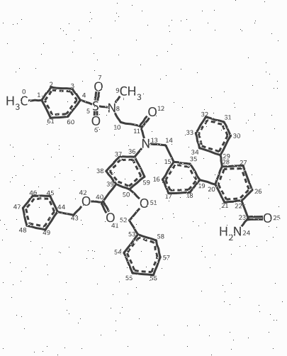 Cc1ccc(S(=O)(=O)N(C)CC(=O)N(Cc2cccc(-c3cc(C(N)=O)ccc3-c3ccccc3)c2)c2ccc(C(=O)OCc3ccccc3)c(OCc3ccccc3)c2)cc1